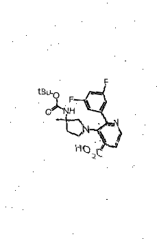 CC(C)(C)OC(=O)N[C@@]1(C)CCN(c2c(C(=O)O)ccnc2-c2cc(F)cc(F)c2)C1